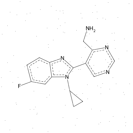 NCc1ncncc1-c1nc2ccc(F)cc2n1C1CC1